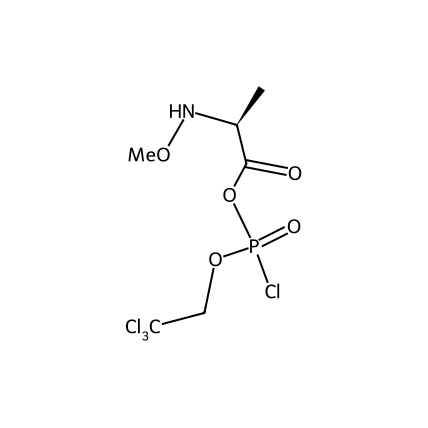 CON[C@@H](C)C(=O)OP(=O)(Cl)OCC(Cl)(Cl)Cl